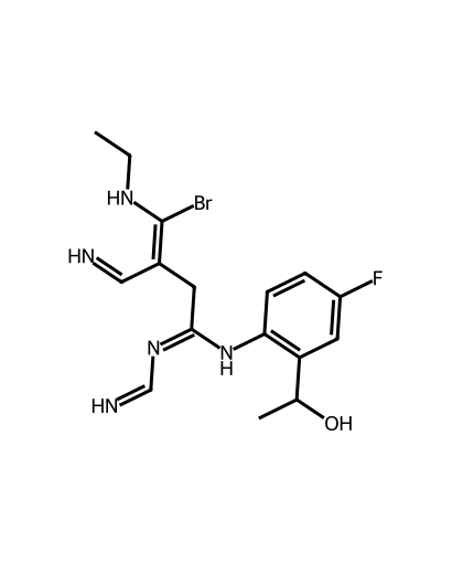 CCN/C(Br)=C(\C=N)C/C(=N/C=N)Nc1ccc(F)cc1C(C)O